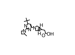 CC1CCN1c1nc(N2C[C@@H]3C(CC(=O)O)[C@@H]3C2)cc(C(C)(C)C)n1